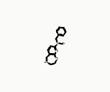 CC(C)N(Cc1ccccc1)c1ccc2c(n1)OCCNC2